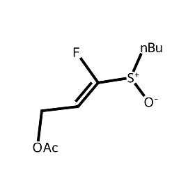 CCCC[S+]([O-])C(F)=CCOC(C)=O